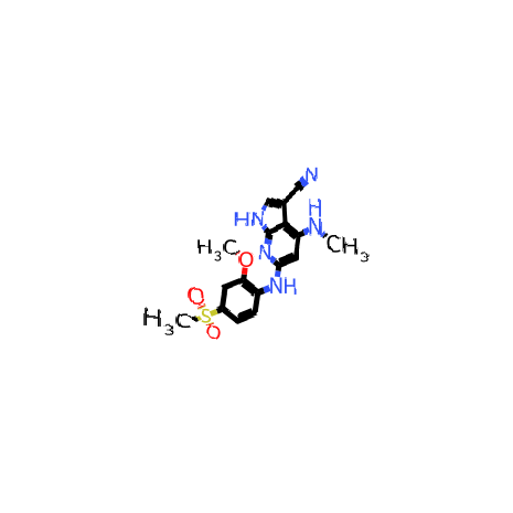 CNc1cc(NC2=C(OC)CC(S(C)(=O)=O)C=C2)nc2[nH]cc(C#N)c12